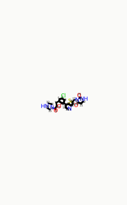 O=C(C1Cc2cc(Cl)cc(-c3ccnc4cc(Cn5c(=O)cc[nH]c5=O)sc34)c2O1)N1CCNCC1